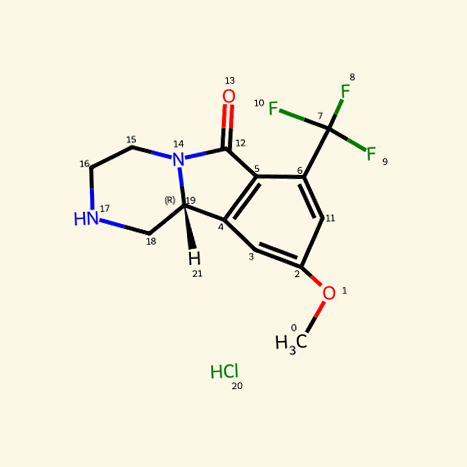 COc1cc2c(c(C(F)(F)F)c1)C(=O)N1CCNC[C@@H]21.Cl